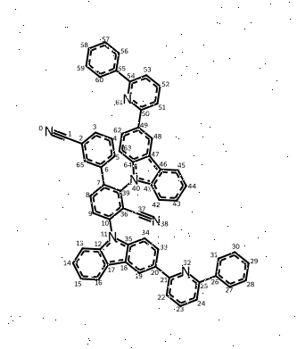 N#Cc1cccc(-c2ccc(-n3c4ccccc4c4cc(-c5cccc(-c6ccccc6)n5)ccc43)c(C#N)c2-n2c3ccccc3c3cc(-c4cccc(-c5ccccc5)n4)ccc32)c1